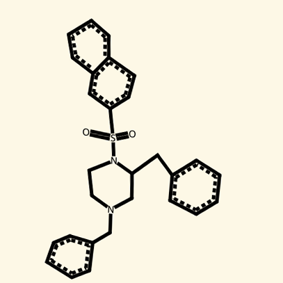 O=S(=O)(c1ccc2ccccc2c1)N1CCN(Cc2ccccc2)CC1Cc1ccccc1